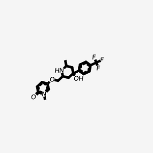 CC1CC(O)(c2ccc(C(F)(F)F)cc2)CC(COc2ccc(=O)n(C)c2)N1